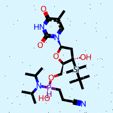 Cc1cn([C@H]2C[C@@](O)([Si](C)(C)C(C)(C)C)[C@@H](CO[PH](O)(CCC#N)N(C(C)C)C(C)C)O2)c(=O)[nH]c1=O